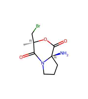 C[C@]1(CBr)OC(=O)[C@]2(N)CCCN2C1=O